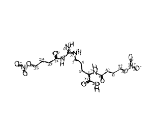 N=C(NCCCC(NC(=O)CCCO[N+](=O)[O-])C(=O)O)NC(=O)CCCO[N+](=O)[O-]